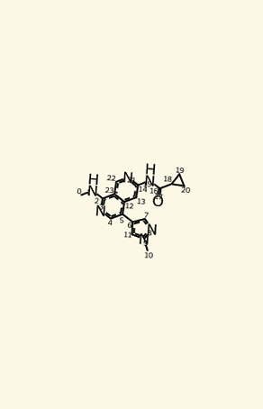 CNc1ncc(-c2cnn(C)c2)c2cc(NC(=O)C3CC3)ncc12